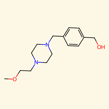 COCCN1CCN(Cc2ccc(CO)cc2)CC1